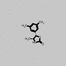 Cc1cc(C)cc([C@@H]2OC(=O)N[C@H]2C)c1